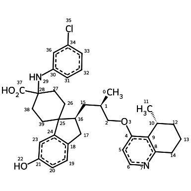 C[C@@H](COc1ccnc2c1[C@H](C)CCC2)C[C@H]1Cc2ccc(O)cc2C12CCC(Nc1cccc(Cl)c1)(C(=O)O)CC2